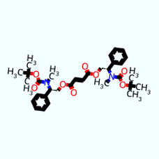 CN(C(=O)OC(C)(C)C)[C@H](COC(=O)/C=C/C(=O)OC[C@H](c1ccccc1)N(C)C(=O)OC(C)(C)C)c1ccccc1